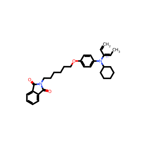 C=C/C(=C\C)N(c1ccc(OCCCCCCN2C(=O)c3ccccc3C2=O)cc1)C1CCCCC1